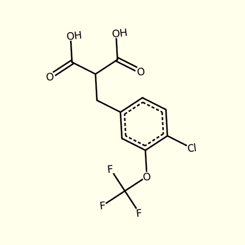 O=C(O)C(Cc1ccc(Cl)c(OC(F)(F)F)c1)C(=O)O